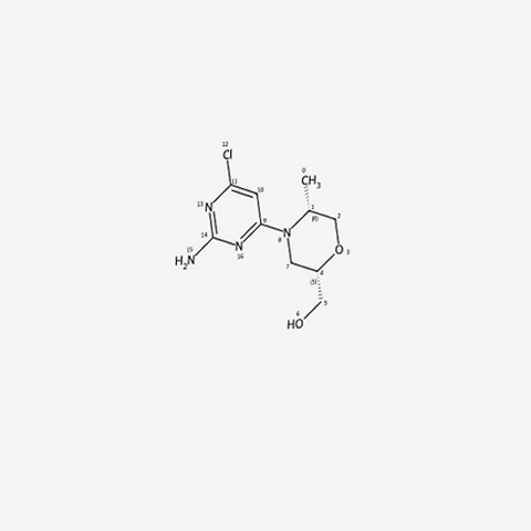 C[C@@H]1CO[C@H](CO)CN1c1cc(Cl)nc(N)n1